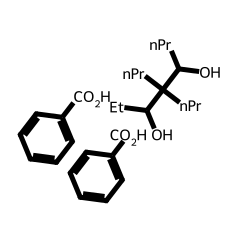 CCCC(O)C(CCC)(CCC)C(O)CC.O=C(O)c1ccccc1.O=C(O)c1ccccc1